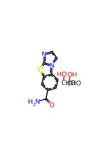 NC(=O)c1ccc2c(c1)sc1nccn12.O=CO.O=CO